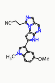 COc1ccc2c(c1)c(-c1cc3c(ncc4cnc(CCC#N)n43)[nH]1)cn2C